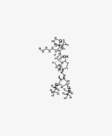 C=C1/C(=C\C=C2/CCC[C@]3(C)[C@@H]([C@H](C)[C@@H](O)CCC4(C5(CCCCCCC)OCCO5)CC4)CC[C@@H]23)C[C@@H](O[Si](C)(C)C(C)(C)C)C[C@@H]1O[Si](C)(C)C(C)(C)C